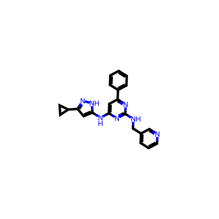 c1ccc(-c2cc(Nc3cc(C4CC4)n[nH]3)nc(NCc3cccnc3)n2)cc1